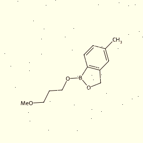 COCCCOB1OCc2cc(C)ccc21